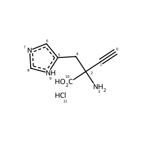 C#CC(N)(Cc1cnc[nH]1)C(=O)O.Cl